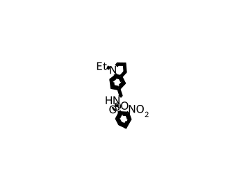 CCN1CCCc2cc(CNS(=O)(=O)c3ccccc3[N+](=O)[O-])ccc21